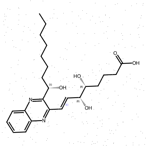 CCCCCCC[C@H](O)c1nc2ccccc2nc1/C=C/[C@@H](O)[C@H](O)CCCC(=O)O